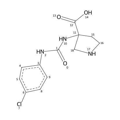 O=C(Nc1ccc(Cl)cc1)NC1(C(=O)O)CCNC1